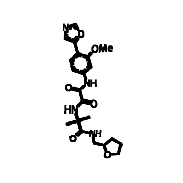 COc1cc(NC(=O)C(=O)NC(C)(C)C(=O)NCC2CCCO2)ccc1-c1cnco1